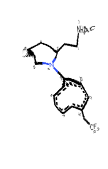 CC(=O)NCC1CCCN1c1ccc(C(F)(F)F)cc1